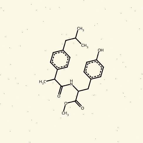 COC(=O)C(Cc1ccc(O)cc1)NC(=O)C(C)c1ccc(CC(C)C)cc1